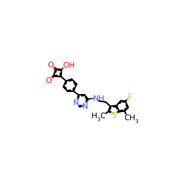 Cc1sc2c(C)cc(F)cc2c1CCNc1cc(-c2ccc(-c3c(O)c(=O)c3=O)cc2)ncn1